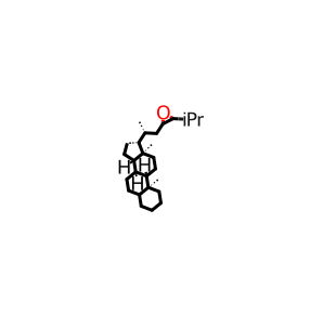 CC(C)C1OC1C[C@@H](C)[C@H]1CC[C@H]2[C@@H]3CCC4CCCC[C@]4(C)[C@H]3CC[C@]12C